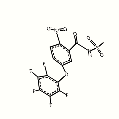 CS(=O)(=O)NC(=O)c1cc(Oc2c(F)c(F)c(F)c(F)c2F)ccc1[N+](=O)[O-]